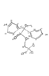 COC(C(=O)OCC(Cl)(Cl)Cl)(c1ccccc1)c1ccccc1